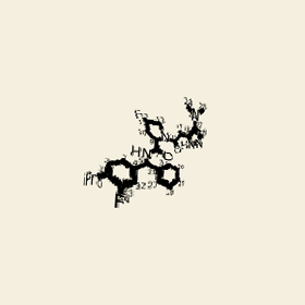 CC(C)c1ccc(C(NC(=O)C2CC(F)CN2C(=O)Cc2[nH]nnc2N(C)C)c2ccccc2)cc1F